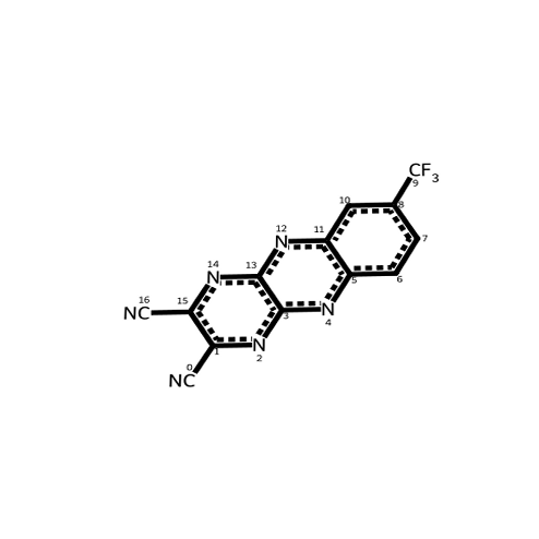 N#Cc1nc2nc3ccc(C(F)(F)F)cc3nc2nc1C#N